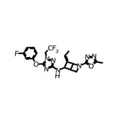 C/C=C1/C(Nc2nc(Oc3cccc(F)c3)n(CC(F)(F)F)n2)C2CN(c3nnc(C)o3)C12